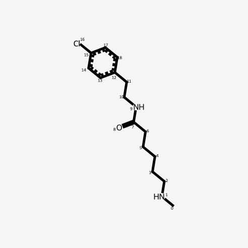 CNCCCCCC(=O)NCCc1ccc(Cl)cc1